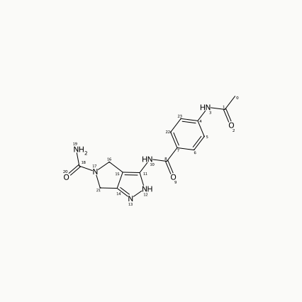 CC(=O)Nc1ccc(C(=O)Nc2[nH]nc3c2CN(C(N)=O)C3)cc1